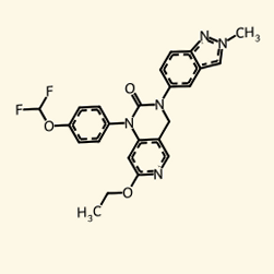 CCOc1cc2c(cn1)CN(c1ccc3nn(C)cc3c1)C(=O)N2c1ccc(OC(F)F)cc1